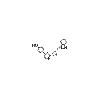 Oc1ccc(-c2ccnc(NCCCn3cnc4ccccc43)n2)cc1